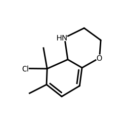 CC1=CC=C2OCCNC2C1(C)Cl